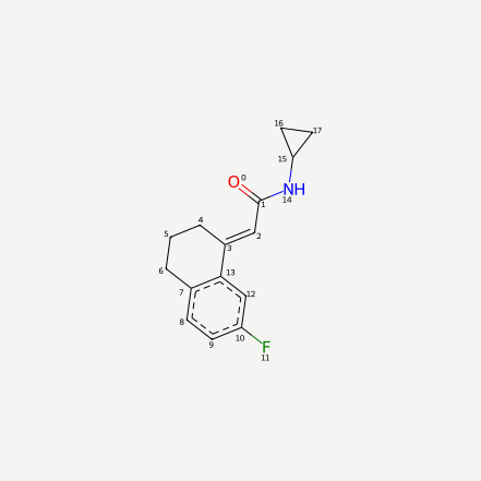 O=C(C=C1CCCc2ccc(F)cc21)NC1CC1